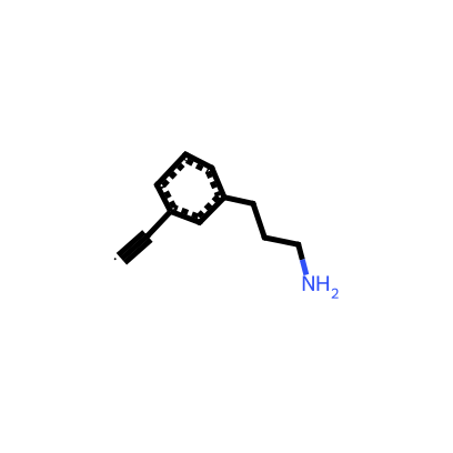 [C]#Cc1cccc(CCCN)c1